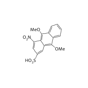 COc1c2ccccc2c(OC)c2c([N+](=O)[O-])cc(S(=O)(=O)O)cc12